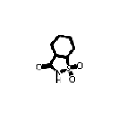 O=C1NS(=O)(=O)C2CCCCC12